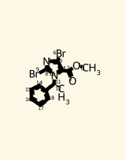 COC(=O)c1c(Br)nc(Br)n1[C@H](C)c1ccccc1